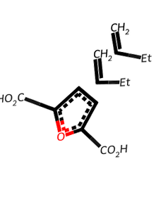 C=CCC.C=CCC.O=C(O)c1ccc(C(=O)O)o1